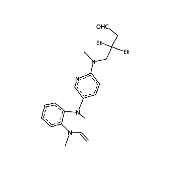 C=CN(C)c1ccccc1N(C)c1ccc(N(C)CC(CC)(CC)CC=O)nc1